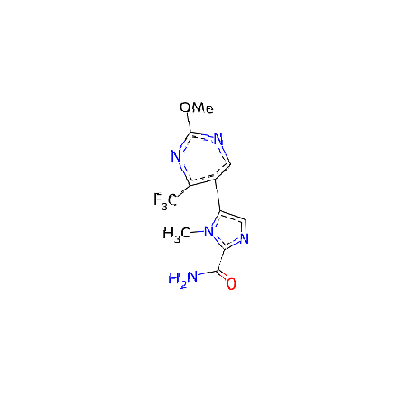 COc1ncc(-c2cnc(C(N)=O)n2C)c(C(F)(F)F)n1